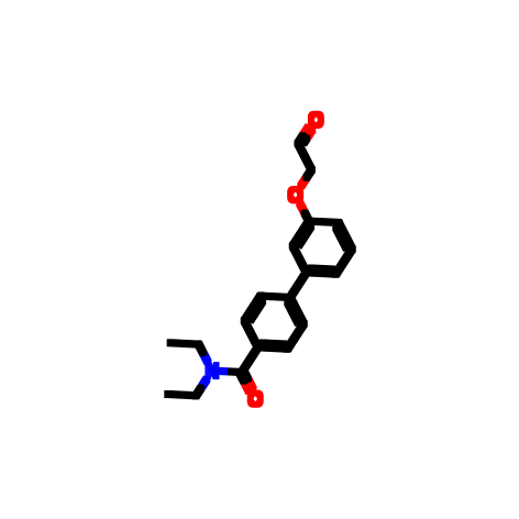 CCN(CC)C(=O)c1ccc(-c2cccc(OCC=O)c2)cc1